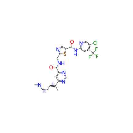 C=N/C=C\C=C(/C)c1cc(C(=O)NCc2ncc(C(=O)Nc3cc(C(F)(F)F)c(Cl)cn3)s2)ncn1